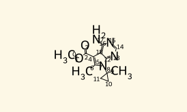 COC(=O)c1c(C)n(C2(C)CC2)c2ncnc(N)c12